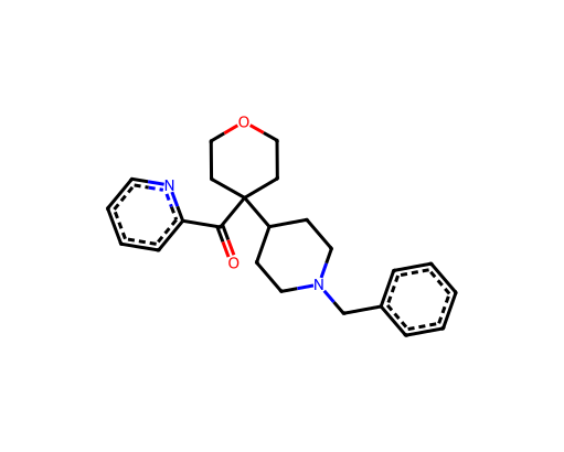 O=C(c1ccccn1)C1(C2CCN(Cc3ccccc3)CC2)CCOCC1